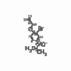 CC(C)[S+]([O-])c1ccc(OCC2CC2)c(Br)c1